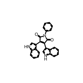 O=C1C(c2c[nH]c3ccccc23)=C(c2c[nH]c3ccccc23)C(=O)N1c1ccccc1